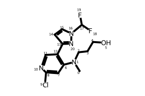 CN(CCCO)c1cc(Cl)ncc1-c1ccn(C(F)F)n1